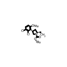 C=C[C@@H]1C[C@H](c2c(OC)ccc(Cl)c2Cl)CN1C(=O)OC(C)(C)C